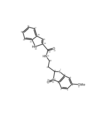 COc1ccc2c(c1)SC(CCNC(=O)c1cc3ccccc3[nH]1)[N+]2=O